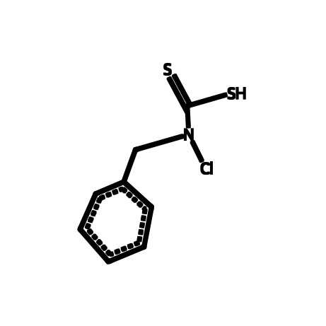 S=C(S)N(Cl)Cc1ccccc1